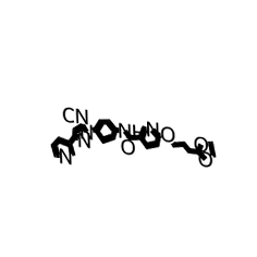 N#Cc1cc(-c2cccnc2)nn1-c1ccc(NC(=O)c2ccc(OCCCC3OCCO3)nc2)cc1